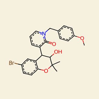 COc1ccc(Cn2cccc(C3c4cc(Br)ccc4OC(C)(C)C3O)c2=O)cc1